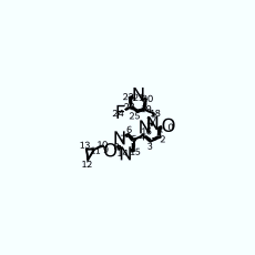 O=c1ccc(-c2cnc(OCC3CC3)nc2)nn1Cc1cncc(F)c1